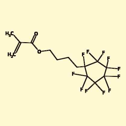 C=C(C)C(=O)OCCCCC1(F)C(F)(F)C(F)(F)C(F)(F)C(F)(F)C1(F)F